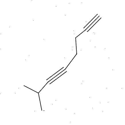 C#CCCC#CC([CH2])C